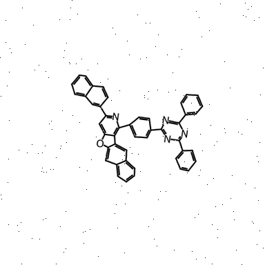 c1ccc(-c2nc(-c3ccccc3)nc(-c3ccc(-c4nc(-c5ccc6ccccc6c5)cc5oc6cc7ccccc7cc6c45)cc3)n2)cc1